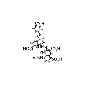 CC(=O)NC1=C2C(=O)/C(=N\Nc3ccc(/N=N/c4ccc(S(=O)(=O)O)cc4)c4ccc(S(=O)(=O)O)cc34)C(S(=O)(=O)O)=CC2=C(S(=O)(=O)O)CC1